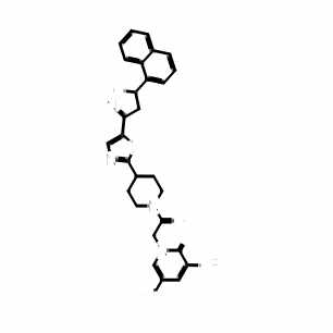 O=C(Cn1cc(Cl)cc(C(F)(F)F)c1=O)N1CCC(c2ncc(C3=NOC(c4cccc5ccccc45)C3)s2)CC1